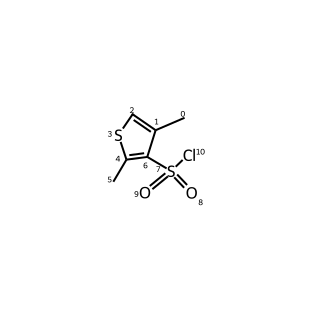 Cc1csc(C)c1S(=O)(=O)Cl